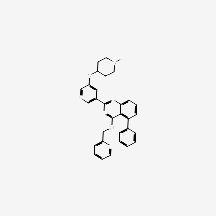 O=C(O)N1CCC(Nc2cncc(-c3nc(NCc4ccccn4)c4c(-c5ccccc5)cccc4n3)c2)CC1